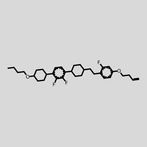 C=CCCOc1ccc(CCC2CCC(c3ccc(C4CCC(OCCCC)CC4)c(F)c3F)CC2)c(F)c1